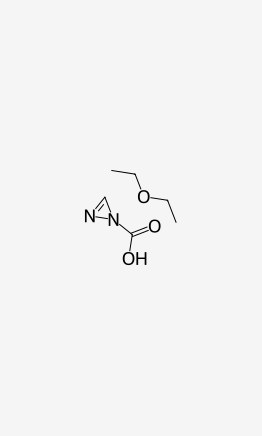 CCOCC.O=C(O)N1C=N1